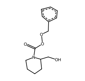 O=C(OOCc1ccccc1)N1CCCCC1CO